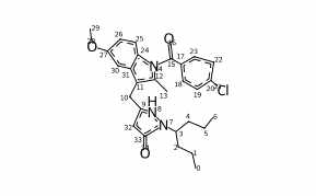 CCCC(CCC)n1[nH]c(Cc2c(C)n(C(=O)c3ccc(Cl)cc3)c3ccc(OC)cc23)cc1=O